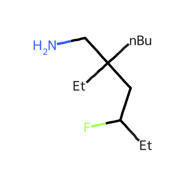 CCCCC(CC)(CN)CC(F)CC